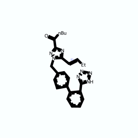 CC/C=C/c1nc(C(=O)CCCC)nn1Cc1ccc(-c2ccccc2-c2nnn[nH]2)cc1